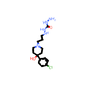 NNC(=O)NNCCCN1CCC(O)(c2ccc(Cl)cc2)CC1